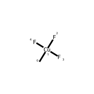 [CH3][Cu]([F])([F])[F]